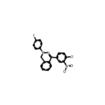 O=[N+]([O-])c1cc(C2=NN(c3ccc(F)cc3)Cc3ccccc32)ccc1Cl